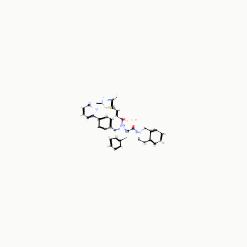 Cc1nc(C)c(C=CC(=O)N(Cc2ccc(-c3ccccn3)cc2)[C@@H](Cc2ccccc2)C(=O)N2CCc3ccccc3C2)s1